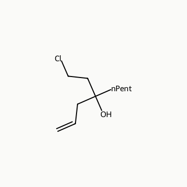 C=CCC(O)(CCCl)CCCCC